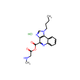 CCCCn1cnc2c(C(=O)OC(=O)CNC)nc3ccccc3c21.Cl